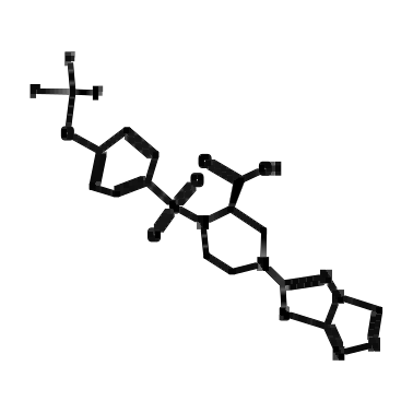 O=C(O)[C@H]1CN(c2nn3cnnc3s2)CCN1S(=O)(=O)c1ccc(OC(F)(F)F)cc1